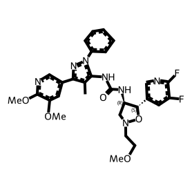 COCCN1C[C@@H](NC(=O)Nc2c(C)c(-c3cnc(OC)c(OC)c3)nn2-c2ccccc2)[C@H](c2cnc(F)c(F)c2)O1